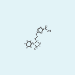 O=C(O)c1ccc(CCCC2OCC(=O)N2c2ccccc2)s1